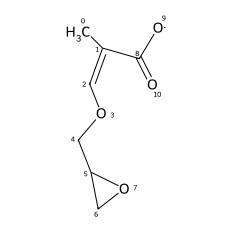 CC(=COCC1CO1)C([O])=O